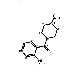 CN1CCC(C(=O)c2ccccc2N)CC1